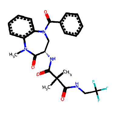 CN1C(=O)[C@@H](NC(=O)C(C)(C)C(=O)NCC(F)(F)F)CN(C(=O)c2ccccc2)c2ccccc21